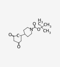 CC(C)(C)OC(=O)N1CCC(C2CC(=O)CC(=O)C2)CC1